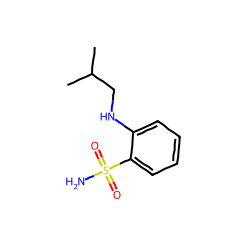 CC(C)CNc1ccccc1S(N)(=O)=O